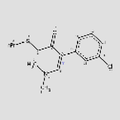 CCCSCC(=O)/C(=C\N(C)C)c1cccc(Cl)c1